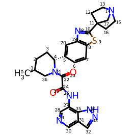 C[C@H]1CC[C@H](c2ccc3sc(C45CCN(CC4)C5)nc3c2)N(C(=O)C(=O)Nc2cncc3cn[nH]c23)C1